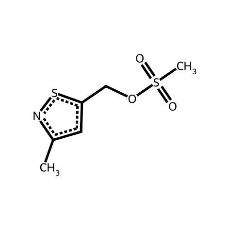 Cc1cc(COS(C)(=O)=O)sn1